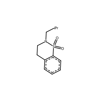 CC(C)CN1CCc2ccccc2S1(=O)=O